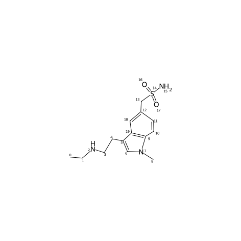 CCNCCc1cn(C)c2ccc(CS(N)(=O)=O)cc12